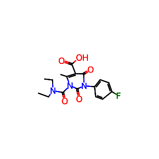 CCN(CC)C(=O)n1c(C)c(C(=O)O)c(=O)n(-c2ccc(F)cc2)c1=O